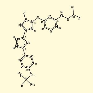 Cc1nc(-c2nc(-c3ccc(OC(C)(F)F)cc3)no2)nn1Cc1ccnc(OCC(C)C)c1